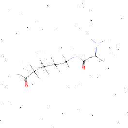 [2H]C(=O)C(C)(C)C(C)(C)C(C)(C)C(C)(C)NC(=O)C(C)N(C)C